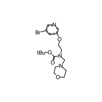 CC(C)(C)OC(=O)N(CCOc1cncc(Br)c1)CN1CCOCC1